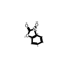 O=C1Oc2ccc[c]c2[N+]1=O